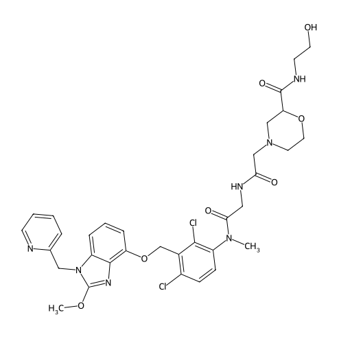 COc1nc2c(OCc3c(Cl)ccc(N(C)C(=O)CNC(=O)CN4CCOC(C(=O)NCCO)C4)c3Cl)cccc2n1Cc1ccccn1